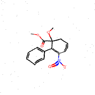 COC(=O)C1(OC)CC=CC([N+](=O)[O-])=C1c1ccccc1